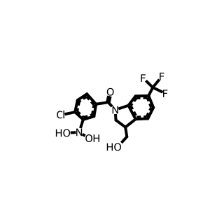 O=C(c1ccc(Cl)c(N(O)O)c1)N1CC(CO)c2ccc(C(F)(F)F)cc21